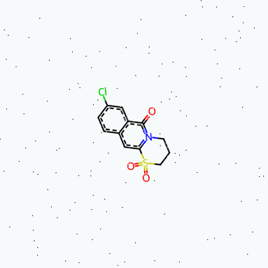 O=c1c2cc(Cl)ccc2cc2n1CCCS2(=O)=O